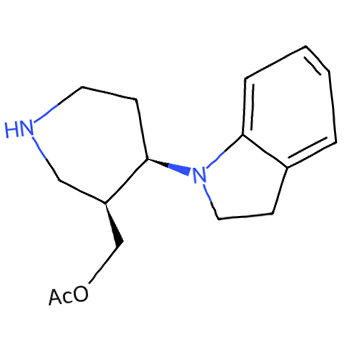 CC(=O)OC[C@H]1CNCC[C@H]1N1CCc2ccccc21